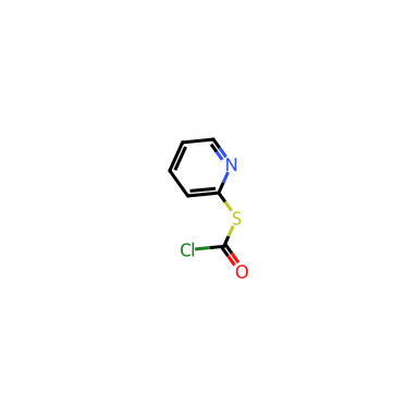 O=C(Cl)Sc1ccccn1